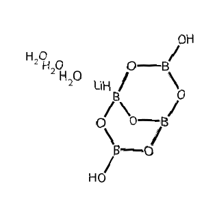 O.O.O.OB1OB2OB(O)OB(O1)O2.[LiH]